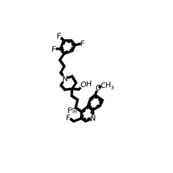 COc1ccc2ncc(CF)c([C@H](F)CCC3(CO)CCN(CCCc4cc(F)cc(F)c4F)CC3)c2c1